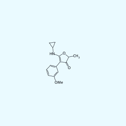 COc1cccc(C2=C(NC3CC3)OC(C)C2=O)c1